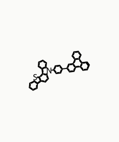 c1ccc2c(c#1)c1ccccc1c1cc(-c3ccc(-n4c5ccccc5c5c6sc7ccccc7c6ccc54)cc3)ccc21